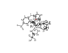 CC(C)c1ccc(Cn2ccnc2NC(=O)[C@]2(F)CN(C(C)(C)C)C[C@H]2c2ccc(F)cc2)c(N2CCC(C(=O)O)CC2)c1